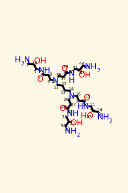 NCC(O)CNC(=O)CCN(CCCCN(CCC(=O)NCC(O)CN)CCC(=O)NCC(O)CN)CCC(=O)NCC(O)CN